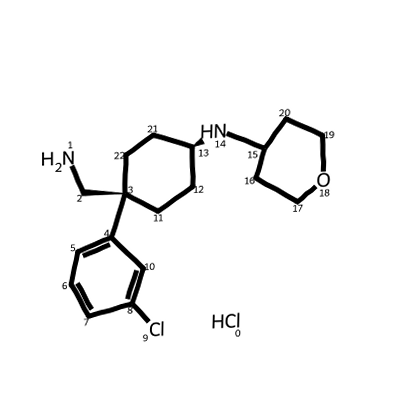 Cl.NC[C@]1(c2cccc(Cl)c2)CC[C@H](NC2CCOCC2)CC1